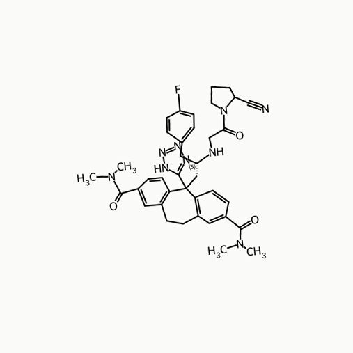 CN(C)C(=O)c1ccc2c(c1)CCc1cc(C(=O)N(C)C)ccc1C2(C[C@H](Cc1ccc(F)cc1)NCC(=O)N1CCCC1C#N)c1nnn[nH]1